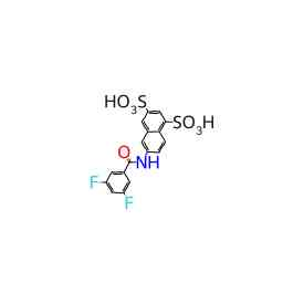 O=C(Nc1ccc2c(S(=O)(=O)O)cc(S(=O)(=O)O)cc2c1)c1cc(F)cc(F)c1